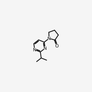 CC(C)c1nccc(N2CCCC2=O)n1